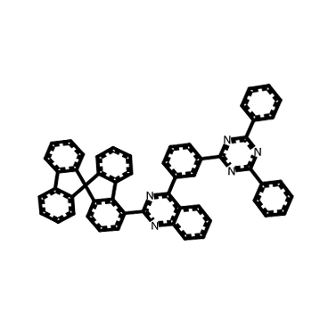 c1ccc(-c2nc(-c3ccccc3)nc(-c3cccc(-c4nc(-c5cccc6c5-c5ccccc5C65c6ccccc6-c6ccccc65)nc5ccccc45)c3)n2)cc1